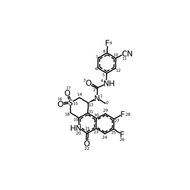 CN(C(=O)Nc1ccc(F)c(C#N)c1)[C@@H]1CS(=O)(=O)Cc2[nH]c(=O)c3cc(F)c(F)cc3c21